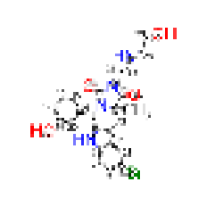 C[C@@]12Cc3c([nH]c4ccc(Br)cc34)[C@@H](c3cccc(O)c3)N1C(=O)N(CCNCCO)C2=O